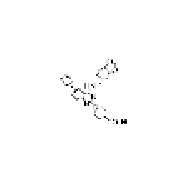 O=C(O)C1CCN(c2nc(NCc3ccc4c(c3)OCO4)c3cc(-n4cccn4)ccc3n2)CC1